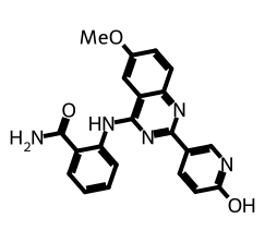 COc1ccc2nc(-c3ccc(O)nc3)nc(Nc3ccccc3C(N)=O)c2c1